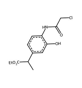 CCOC(=O)C(C)c1ccc(NC(=O)CCl)c(O)c1